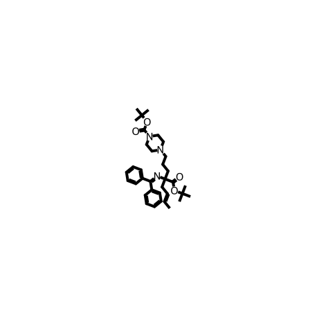 C/C=C/CC(CCCN1CCN(C(=O)OC(C)(C)C)CC1)(N=C(c1ccccc1)c1ccccc1)C(=O)OC(C)(C)C